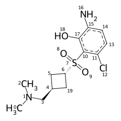 CN(C)C[C@H]1C[C@H](S(=O)(=O)c2c(Cl)ccc(N)c2O)C1